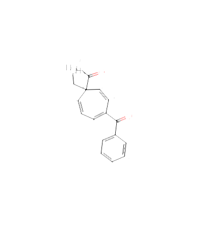 CCC1(C(C)=O)C=CC=C(C(=O)c2ccccc2)C=C1